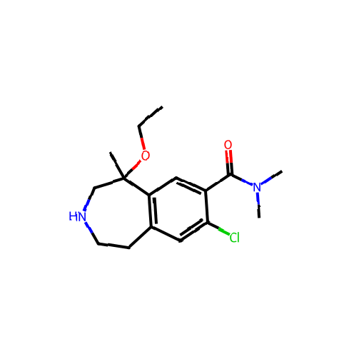 CCOC1(C)CNCCc2cc(Cl)c(C(=O)N(C)C)cc21